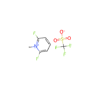 C[n+]1c(F)cccc1F.O=S(=O)([O-])C(F)(F)F